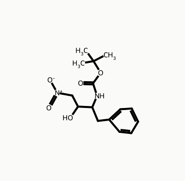 CC(C)(C)OC(=O)NC(Cc1ccccc1)C(O)C[N+](=O)[O-]